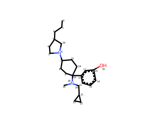 CCCC1CCN(C2CCC(c3cccc(O)c3)(N(C)CC3CC3)CC2)C1